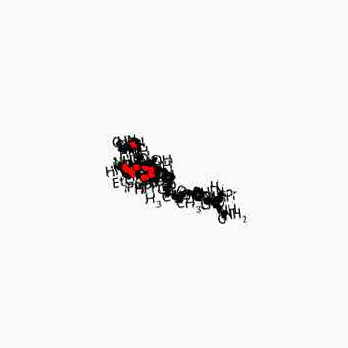 CCOC(=O)[C@@H]1CCCN1C(=O)[C@H](CCCNC(=N)N)NC(=O)[C@H](CC(C)C)NC(=O)[C@H](CC(C)C)NC(=O)[C@H](Cc1ccc(OC(=O)N(C)CCN(C)C(=O)OCc2ccc(NC(=O)[C@H](CCCNC(N)=O)NC(=O)[C@@H](N)C(C)C)cc2)cc1)NC(=O)[C@H](CO)NC(=O)[C@H](Cc1c[nH]c2ccccc12)NC(=O)[C@H](Cc1c[nH]cn1)NC(=O)C1CCC(=O)N1